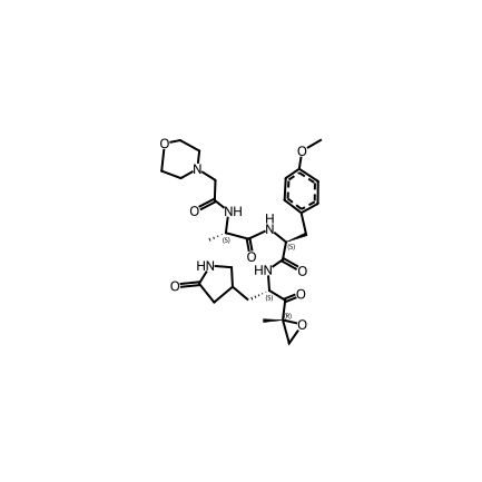 COc1ccc(C[C@H](NC(=O)[C@H](C)NC(=O)CN2CCOCC2)C(=O)N[C@@H](CC2CNC(=O)C2)C(=O)[C@@]2(C)CO2)cc1